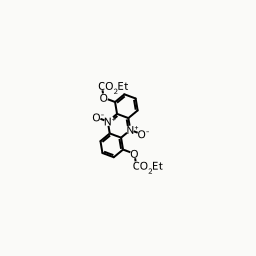 CCOC(=O)Oc1cccc2c1[n+]([O-])c1cccc(OC(=O)OCC)c1[n+]2[O-]